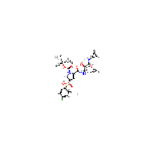 CC[C@H](NC(=O)C1CC(S(=O)(=O)c2ccc(Cl)cc2C)CN1C(=O)OC(C)(C)C)C(=O)C(=O)NC1CC1